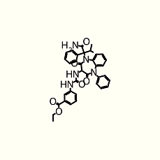 CCOC(=O)c1cccc(NC(=O)NC2C(=O)N(c3ccccc3)c3ccccc3N(C(C(N)=O)(c3ccccc3)C(C)C)C2=O)c1